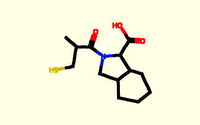 CC(CS)C(=O)N1CC2CCCCC2C1C(=O)O